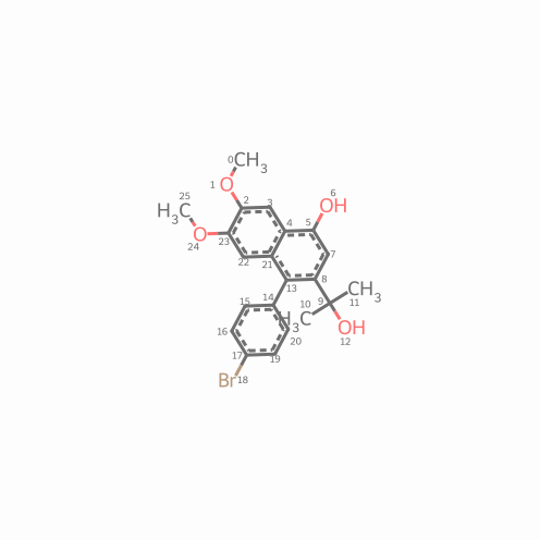 COc1cc2c(O)cc(C(C)(C)O)c(-c3ccc(Br)cc3)c2cc1OC